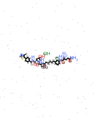 Cc1ncsc1-c1ccc([C@H](C)NC(=O)[C@@H]2C[C@@H](O)CN2C(=O)[C@@H](NC(=O)CCCCCc2cccc(NC(=O)[C@@H](N)CCC(N)=O)c2Cl)C(C)(C)C)cc1.Cl